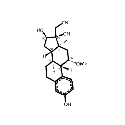 CO[C@H]1C[C@@]2(C)[C@@H](C[C@@H](O)[C@]2(O)CC#N)[C@@H]2CCc3cc(O)ccc3[C@H]21